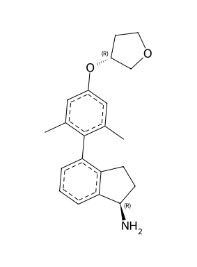 Cc1cc(O[C@@H]2CCOC2)cc(C)c1-c1cccc2c1CC[C@H]2N